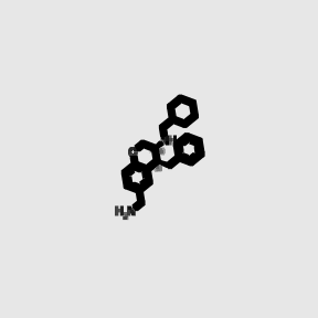 NCc1ccc2c(c1)[C@H](Cc1ccccc1)[C@H](NCC1CCCCC1)CO2